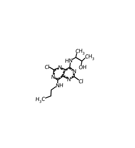 CCCNc1nc(Cl)nc2c(NC(C)C(C)O)nc(Cl)nc12